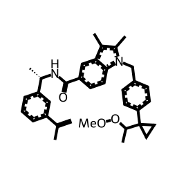 C=C(C)c1cccc([C@H](C)NC(=O)c2ccc3c(c2)c(C)c(C)n3Cc2ccc(C3(C(C)OOC)CC3)cc2)c1